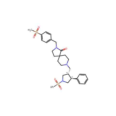 CCCS(=O)(=O)N1C[C@H](CN2CCC3(CC2)CCN(Cc2ccc(S(C)(=O)=O)cc2)C3=O)[C@@H](c2ccccc2)C1